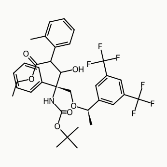 CCOC(=O)C(c1ccccc1C)C(O)[C@](CO[C@H](C)c1cc(C(F)(F)F)cc(C(F)(F)F)c1)(NC(=O)OC(C)(C)C)c1ccccc1